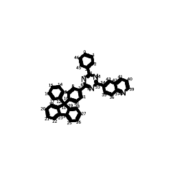 c1ccc(-c2nc(-c3ccc(C4(c5ccccc5)c5ccccc5-c5ccccc54)cc3)nc(-c3ccc4ncccc4c3)n2)cc1